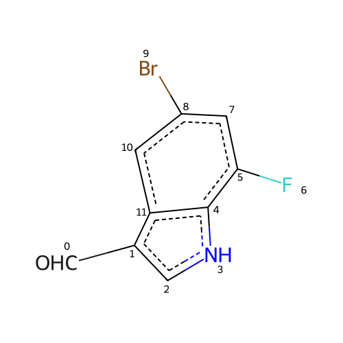 O=Cc1c[nH]c2c(F)cc(Br)cc12